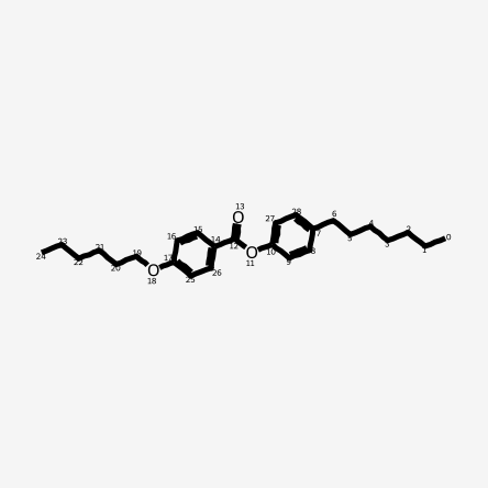 CCCCCCCc1ccc(OC(=O)c2ccc(OCCCCCC)cc2)cc1